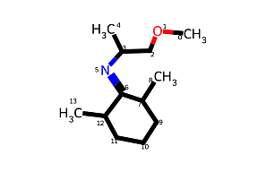 COCC(C)N=C1C(C)CCCC1C